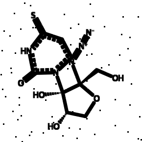 [N-]=[N+]=N[C@]1(CO)OC[C@H](O)[C@@]1(O)n1ccc(=S)[nH]c1=O